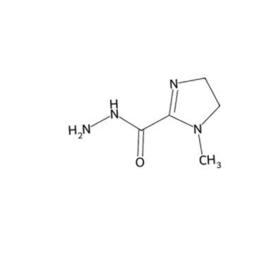 CN1CCN=C1C(=O)NN